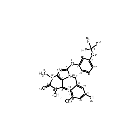 Cn1c(=O)c2c(nc(Oc3cccc(OC(F)(F)F)c3)n2Cc2cc(Cl)cc(Cl)c2)n(C)c1=O